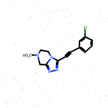 O=C(O)N1CCn2c(C#Cc3cccc(Cl)c3)nnc2C1